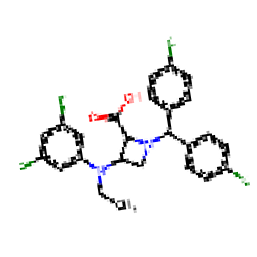 CCN(c1cc(F)cc(F)c1)C1CN(C(c2ccc(Cl)cc2)c2ccc(Cl)cc2)C1C(=O)O